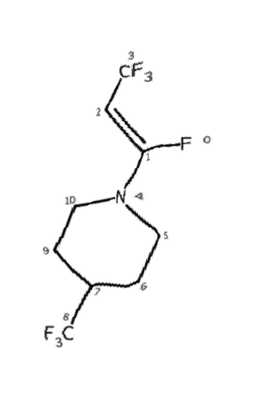 F/C(=C\C(F)(F)F)N1CCC(C(F)(F)F)CC1